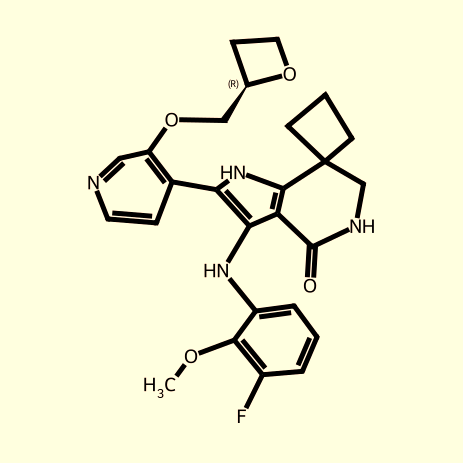 COc1c(F)cccc1Nc1c(-c2ccncc2OC[C@H]2CCO2)[nH]c2c1C(=O)NCC21CCC1